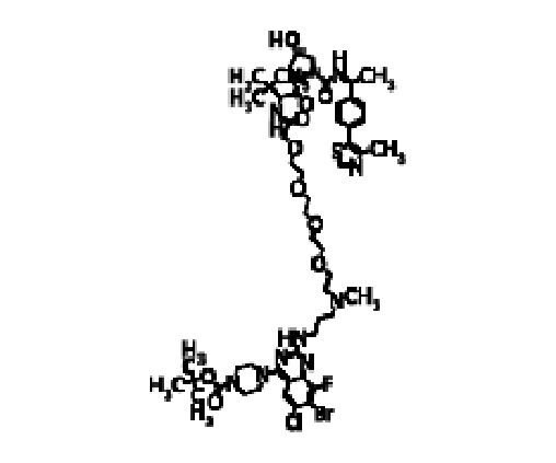 Cc1ncsc1-c1ccc(C(C)NC(=O)[C@@H]2C[C@@H](O)CN2C(=O)C(NC(=O)COCCOCCOCCOCCN(C)CCCNc2nc(N3CCN(C(=O)OC(C)(C)C)CC3)c3cc(Cl)c(Br)c(F)c3n2)C(C)(C)C)cc1